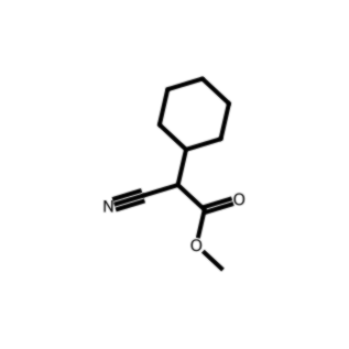 COC(=O)C(C#N)C1CCCCC1